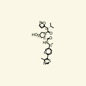 Cc1ncsc1-c1ccc([C@H](C)NC(=O)[C@@H]2C[C@@H](O)CN2C(=O)[C@H](c2ccno2)C(C)C)cn1